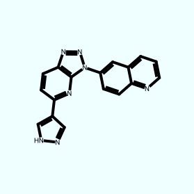 c1cnc2ccc(-n3nnc4ccc(-c5cn[nH]c5)nc43)cc2c1